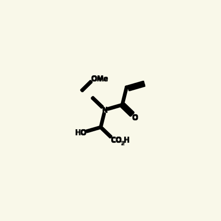 C=CC(=O)N(C)C(O)C(=O)O.COC